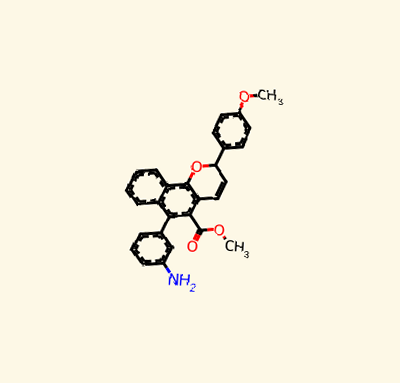 COC(=O)c1c2c(c3ccccc3c1-c1cccc(N)c1)OC(c1ccc(OC)cc1)C=C2